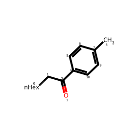 [CH2]CCCCCCC(=O)c1ccc(C)cc1